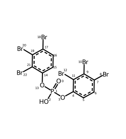 O=P(O)(Oc1ccc(Br)c(Br)c1Br)Oc1ccc(Br)c(Br)c1Br